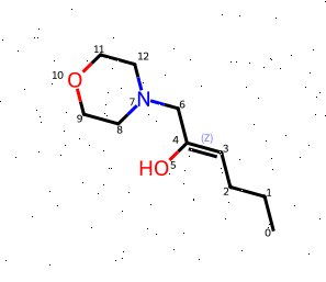 CCC/C=C(\O)CN1CCOCC1